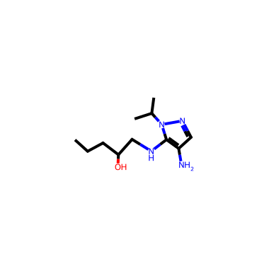 CCCC(O)CNc1c(N)cnn1C(C)C